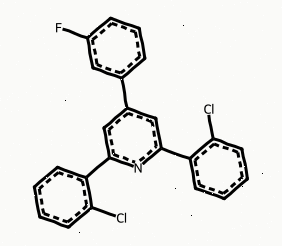 Fc1cccc(-c2cc(-c3ccccc3Cl)nc(-c3ccccc3Cl)c2)c1